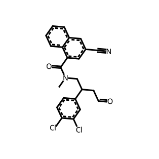 CN(CC(CC=O)c1ccc(Cl)c(Cl)c1)C(=O)c1cc(C#N)cc2ccccc12